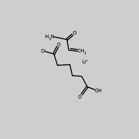 C=CC(N)=O.O=C([O-])CCCCC(=O)O.[Li+]